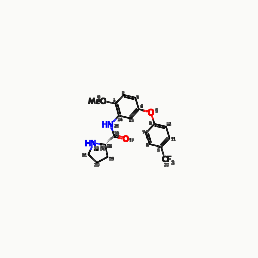 COc1ccc(Oc2ccc(C(F)(F)F)cc2)cc1NC(=O)[C@@H]1CCCN1